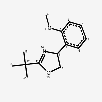 COc1ccccc1C1COC(C(C)(C)C)=N1